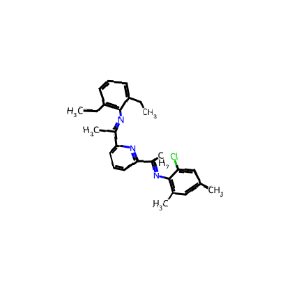 CCc1cccc(CC)c1/N=C(\C)c1cccc(/C(C)=N/c2c(C)cc(C)cc2Cl)n1